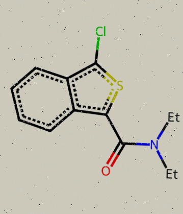 CCN(CC)C(=O)c1sc(Cl)c2ccccc12